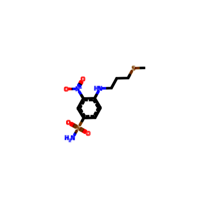 CSCCCNc1ccc(S(N)(=O)=O)cc1[N+](=O)[O-]